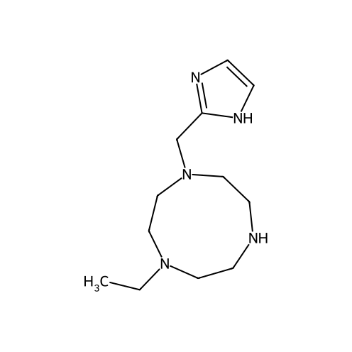 CCN1CCNCCN(Cc2ncc[nH]2)CC1